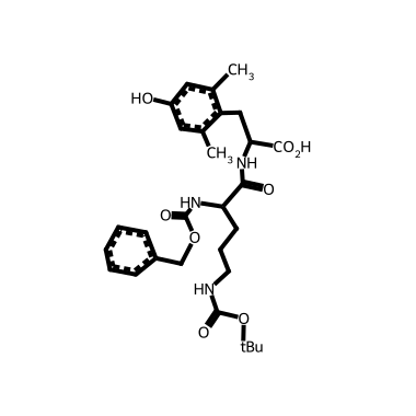 Cc1cc(O)cc(C)c1CC(NC(=O)C(CCCNC(=O)OC(C)(C)C)NC(=O)OCc1ccccc1)C(=O)O